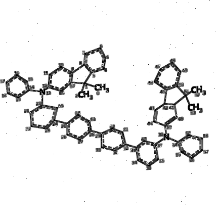 CC1(C)c2ccccc2-c2ccc(N(c3ccccc3)c3cccc(-c4ccc(-c5ccc(-c6cccc(N(C7=CC8C(C=C7)c7ccccc7C8(C)C)c7ccccc7)c6)cc5)cc4)c3)cc21